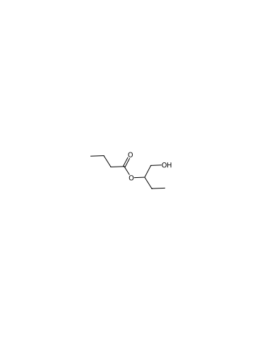 CCCC(=O)OC(CC)CO